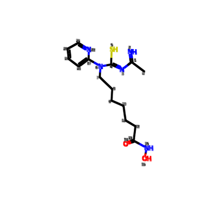 CC(=N)/N=C(\S)N(CCCCCCC(=O)NO)c1ccccn1